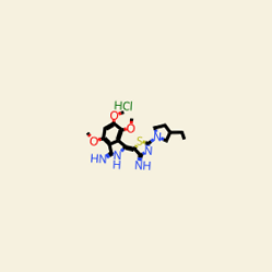 CCC1CCN(C2=NC(=N)C(=C3NC(=N)c4c(OC)cc(OC)c(OC)c43)S2)C1.Cl